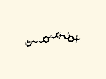 Fc1cc(C(F)(F)F)ccc1/C=C/c1nc(COc2ccc(CSCCn3ccnn3)cc2)co1